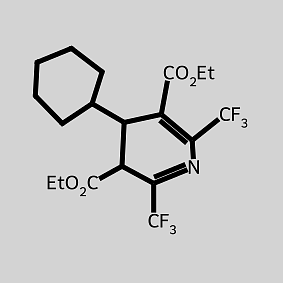 CCOC(=O)C1=C(C(F)(F)F)N=C(C(F)(F)F)C(C(=O)OCC)C1C1CCCCC1